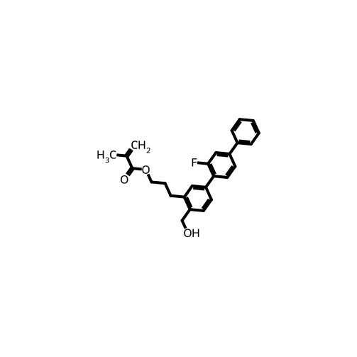 C=C(C)C(=O)OCCCc1cc(-c2ccc(-c3ccccc3)cc2F)ccc1CO